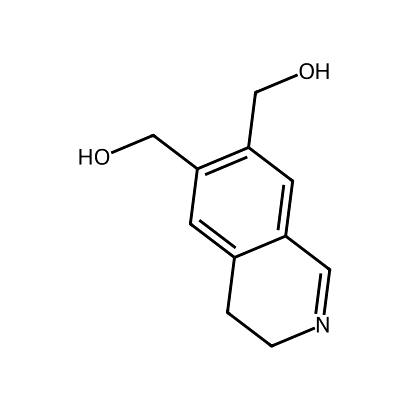 OCc1cc2c(cc1CO)CCN=C2